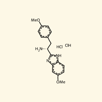 COc1ccc(C[C@@H](N)c2nc3cc(OC)ccc3[nH]2)cc1.Cl.Cl